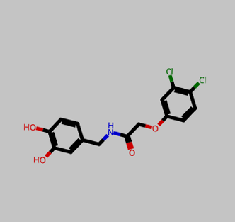 O=C(COc1ccc(Cl)c(Cl)c1)NCc1ccc(O)c(O)c1